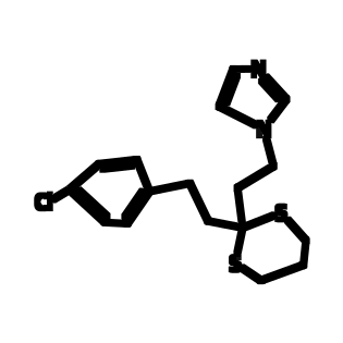 Clc1ccc(CCC2(CCn3ccnc3)SCCCS2)cc1